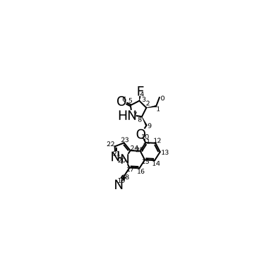 CC[C@@H]1[C@H](F)C(=O)N[C@@H]1COc1cccc2cc(C#N)n3nccc3c12